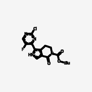 CC(C)(C)OC(=O)N1CCc2c(c[nH]c2-c2nc(Cl)ncc2F)C1=O